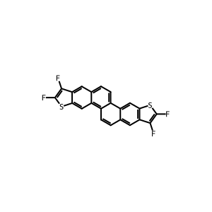 Fc1sc2cc3c(ccc4c5cc6sc(F)c(F)c6cc5ccc34)cc2c1F